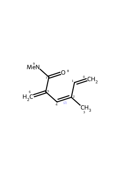 C=C/C(C)=C\C(=C)C(=O)NC